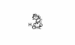 Cn1c(OC=O)cnc1SC(C)(C)C